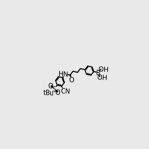 CC(C)(C)S(=O)(=O)c1ccc(NC(=O)CCCc2ccc(B(O)O)cc2)cc1C#N